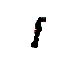 Cc1c(OCCCN2CCC3(CCN(C(=O)OC(C)(C)C)CC3)C2)cccc1-c1cccc(-c2nc3c(s2)CN(CCO)CC3)c1C